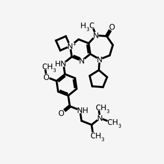 COc1cc(C(=O)NCC(C)N(C)C)ccc1NC1=NC2=C(C[N+]13CCC3)N(C)C(=O)CCN2C1CCCC1